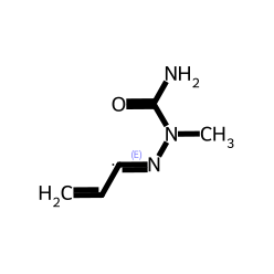 C=C/[C]=N/N(C)C(N)=O